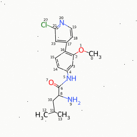 COc1cc(NC(=O)C(N)CC(C)C)ccc1-c1ccnc(Cl)c1